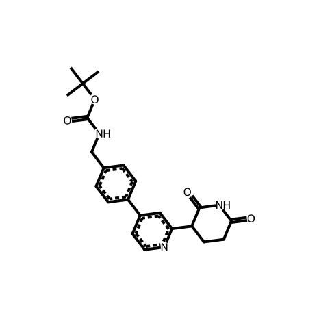 CC(C)(C)OC(=O)NCc1ccc(-c2ccnc(C3CCC(=O)NC3=O)c2)cc1